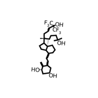 C=C1/C(=C\C=C2/CCC[C@@]3(C)C2CCC3[C@](C)(C/C=C/C(O)(C(F)(F)F)C(F)(F)F)CCCC(C)(C)O)CC(O)C[C@@H]1O